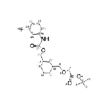 CC(C)(C)OC(=O)COCC1CCCC(COC(=O)Nc2cccc(F)c2)C1